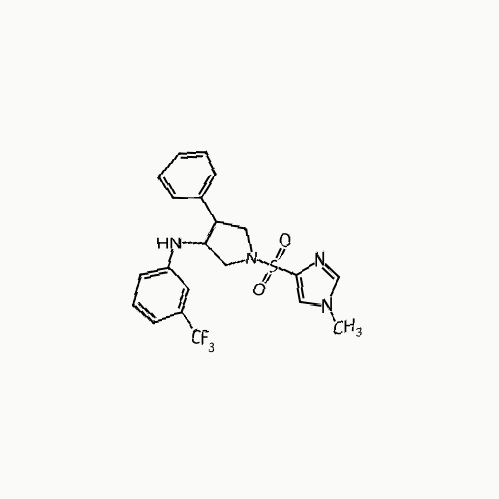 Cn1cnc(S(=O)(=O)N2CC(Nc3cccc(C(F)(F)F)c3)C(c3ccccc3)C2)c1